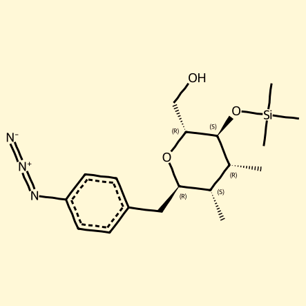 C[C@@H]1[C@H](C)[C@@H](Cc2ccc(N=[N+]=[N-])cc2)O[C@H](CO)[C@H]1O[Si](C)(C)C